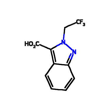 O=C(O)c1c2ccccc2nn1CC(F)(F)F